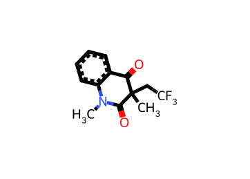 CN1C(=O)C(C)(CC(F)(F)F)C(=O)c2ccccc21